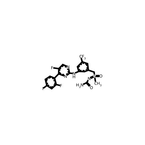 CS(=O)(Cc1cc(Nc2ncc(F)c(-c3ccc(I)cc3F)n2)cc(C(F)(F)F)c1)=NC(N)=O